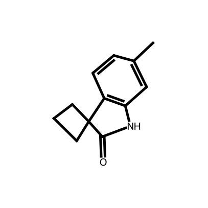 Cc1ccc2c(c1)NC(=O)C21CCC1